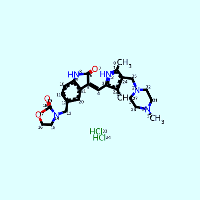 Cc1[nH]c(/C=C2\C(=O)Nc3ccc(CN4CCOC4=O)cc32)c(C)c1CN1CCN(C)CC1.Cl.Cl